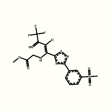 COC(=O)CN/C(=C(/Cl)C(=N)C(F)(F)F)c1nc(-c2cccc(S(C)(=O)=O)c2)ns1